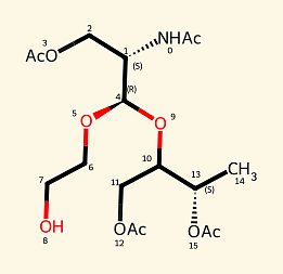 CC(=O)N[C@@H](COC(C)=O)[C@H](OCCO)OC(COC(C)=O)[C@H](C)OC(C)=O